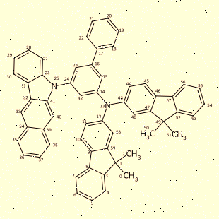 CC1(C)c2ccccc2-c2ccc(N(c3cc(-c4ccccc4)cc(-n4c5ccccc5c5cc6ccccc6cc54)c3)c3ccc4c(c3)C(C)(C)c3ccccc3-4)cc21